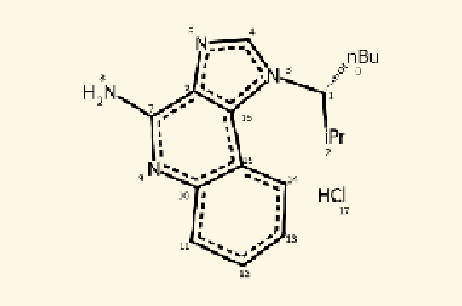 CCCC[C@H](C(C)C)n1cnc2c(N)nc3ccccc3c21.Cl